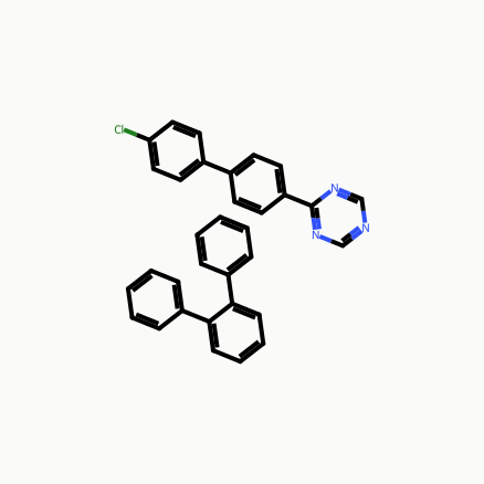 Clc1ccc(-c2ccc(-c3ncncn3)cc2)cc1.c1ccc(-c2ccccc2-c2ccccc2)cc1